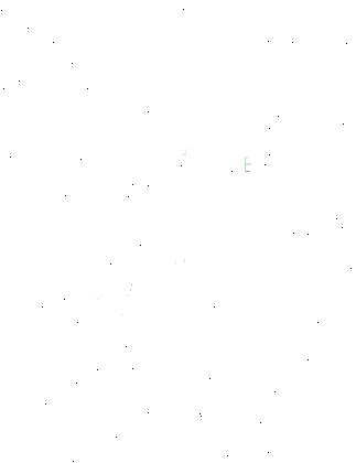 Brc1[c]cc(OCC2CO2)[c]c1Br